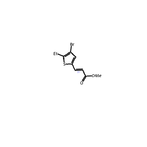 CCc1sc(/C=C/C(=O)OC)cc1Br